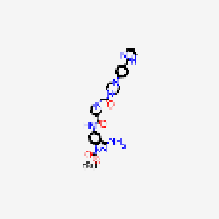 CC(C)(C)OC(=O)n1nc(N)c2cc(NC(=O)[C@@H]3CCN(CC(=O)N4CCN(c5ccc(-c6ncccn6)cc5)CC4)C3)ccc21